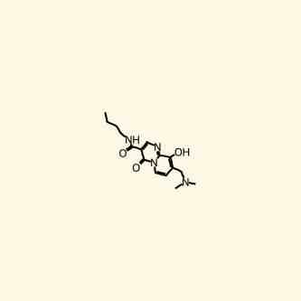 CCCCNC(=O)c1cnc2c(O)c(CN(C)C)ccn2c1=O